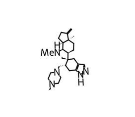 C=C1CC[C@@H]2[C@H](NC)[C@H]([C@]3(C)Cc4cn[nH]c4C[C@@H]3CN3CCN(C)CC3)CC[C@]12C